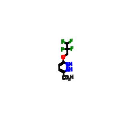 O=C(O)C1=CC=C(OCC(F)(F)C(F)F)NN1